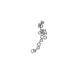 O=C(NCc1ccc(Br)nn1)Nc1ccc(OCc2ccc(OCCN3CCCCC3)cc2)c2ccccc12